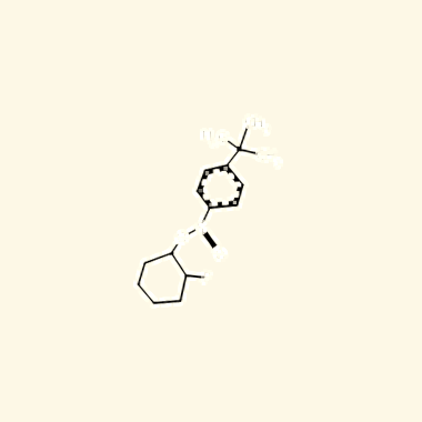 CC(C)(C)c1ccc(S(=O)OC2CCCCC2F)cc1